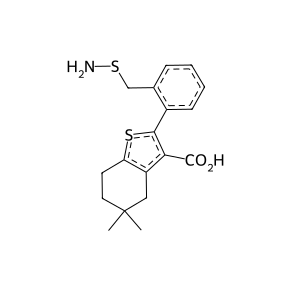 CC1(C)CCc2sc(-c3ccccc3CSN)c(C(=O)O)c2C1